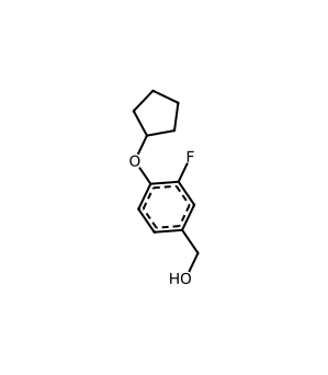 OCc1ccc(OC2CCCC2)c(F)c1